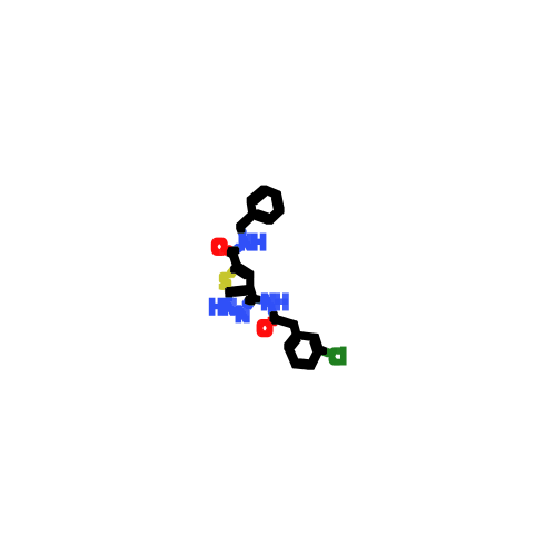 O=C(Cc1cccc(Cl)c1)Nc1n[nH]c2sc(C(=O)NCc3ccccc3)cc12